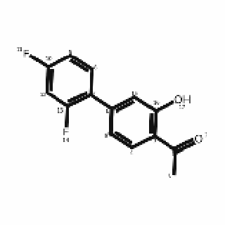 CC(=O)c1ccc(-c2ccc(F)cc2F)cc1O